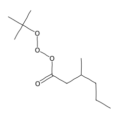 CCCC(C)CC(=O)OOOC(C)(C)C